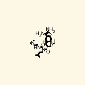 CC(C)CCN(C(=O)NCCN(C)C)C(=O)[C@@H]1C[C@@H]2Cc3c(sc(N)c3N)C[C@H]2N(C)C1